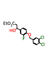 CCOC(=O)CC(O)c1ccc(OCc2ccc(Cl)c(Cl)c2)c(F)c1